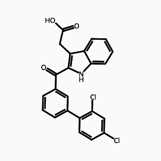 O=C(O)Cc1c(C(=O)c2cccc(-c3ccc(Cl)cc3Cl)c2)[nH]c2ccccc12